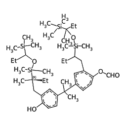 CCC(O[Si](C)(C)[C@](C)(CC)Cc1cc(C(C)(C)c2ccc(OC=O)c(CC(CC)[Si](C)(C)OC(C)(CC)[Si](C)(C)C)c2)ccc1O)[Si](C)(C)C